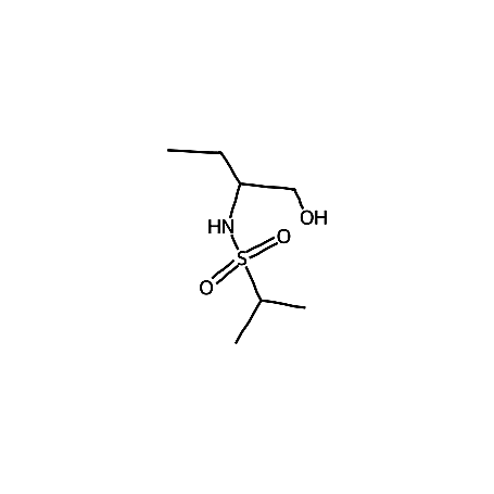 CCC(CO)NS(=O)(=O)C(C)C